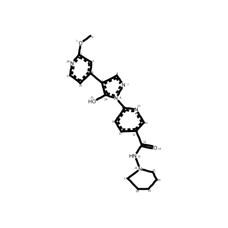 COc1cc(-c2cnn(-c3ccc(C(=O)NN4CCCCC4)cn3)c2O)ccn1